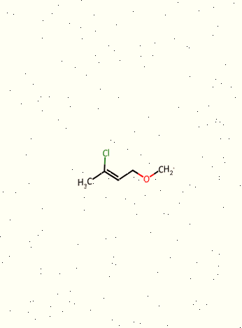 [CH2]OCC=C(C)Cl